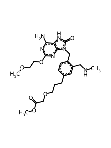 CNCc1cc(CCCOCC(=O)OC)ccc1Cn1c(=O)[nH]c2c(N)nc(OCCOC)nc21